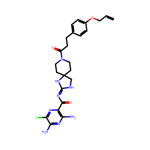 C=CCOc1ccc(CCC(=O)N2CCC3(CC2)CN/C(=N\C(=O)c2nc(Cl)c(N)nc2N)N3)cc1